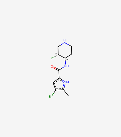 Cc1[nH]c(C(=O)N[C@@H]2CCNC[C@H]2F)cc1Br